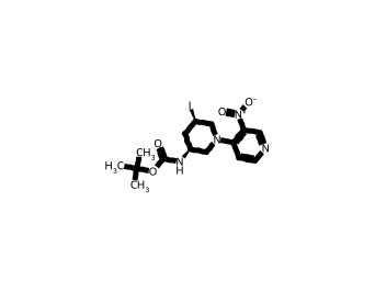 CC(C)(C)OC(=O)N[C@H]1C[C@@H](I)CN(c2ccncc2[N+](=O)[O-])C1